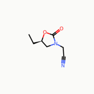 CC[C@@H]1CN(CC#N)C(=O)O1